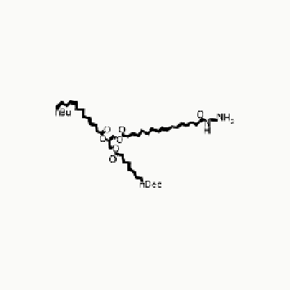 CCCC/C=C\C/C=C\CCCCCCCC(=O)OC(COC(=O)CCCCCCC/C=C/CCCCCCC(=O)NCCN)COC(=O)CCCCCCCCCCCCCCCCC